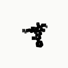 C=CCc1nc2c([nH]1)c(=O)n(C)c(=O)n2CNCC(O)c1ccccc1